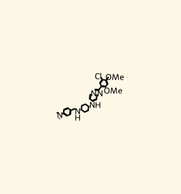 COc1cc(OC)c(-c2cn3ccc(N[C@H]4CC[C@@H](NCc5ccc(N(C)C)cc5)CC4)cc3n2)cc1Cl